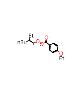 CCCCC([CH]OOC(=O)c1ccc(OCC)cc1)CC